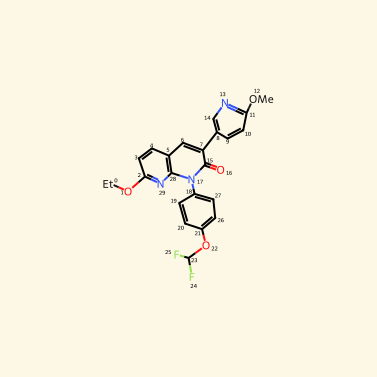 CCOc1ccc2cc(-c3ccc(OC)nc3)c(=O)n(-c3ccc(OC(F)F)cc3)c2n1